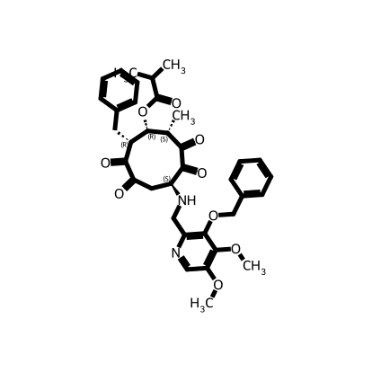 COc1cnc(CN[C@H]2CC(=O)C(=O)[C@H](Cc3ccccc3)[C@H](OC(=O)C(C)C)[C@H](C)C(=O)C2=O)c(OCc2ccccc2)c1OC